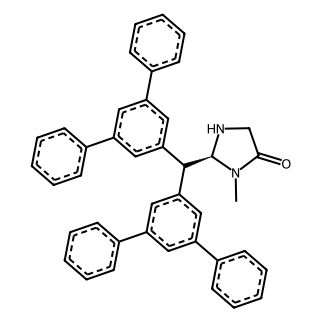 CN1C(=O)CN[C@@H]1C(c1cc(-c2ccccc2)cc(-c2ccccc2)c1)c1cc(-c2ccccc2)cc(-c2ccccc2)c1